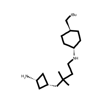 CC(C)(C)C[C@H]1CC[C@H](NCCC(C)(C)C[C@H]2C[C@@H](N)C2)CC1